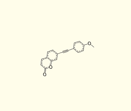 COc1ccc(C#Cc2ccc3ccc(=O)oc3c2)cc1